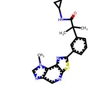 Cn1cnc2cnc3sc(-c4cccc(C(C)(C)C(=O)NC5CC5)c4)nc3c21